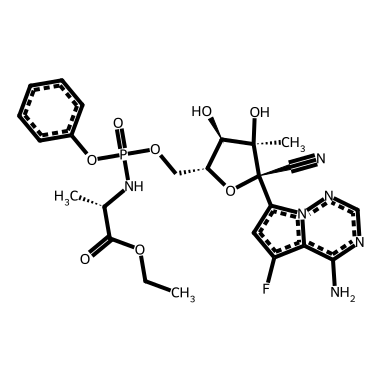 CCOC(=O)[C@H](C)NP(=O)(OC[C@H]1O[C@@](C#N)(c2cc(F)c3c(N)ncnn23)[C@](C)(O)[C@@H]1O)Oc1ccccc1